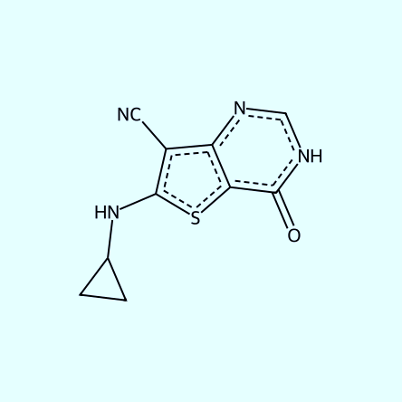 N#Cc1c(NC2CC2)sc2c(=O)[nH]cnc12